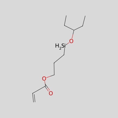 C=CC(=O)OCCC[SiH2]OC(CC)CC